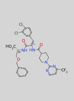 O=C(N[C@H](COCc1ccccc1)C(=O)O)/C(=C\c1ccc(Cl)c(Cl)c1)NC(=O)C1CCN(c2nccc(C(F)(F)F)n2)CC1